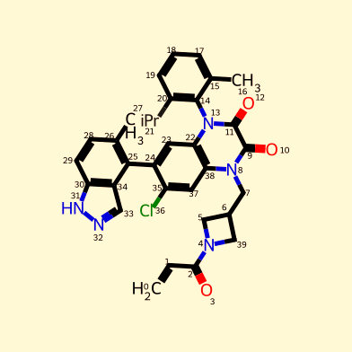 C=CC(=O)N1CC(Cn2c(=O)c(=O)n(-c3c(C)cccc3C(C)C)c3cc(-c4c(C)ccc5[nH]ncc45)c(Cl)cc32)C1